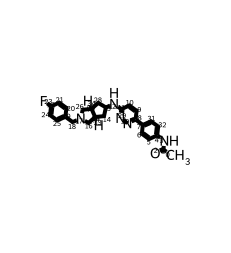 CC(=O)Nc1ccc(-c2ccc(NC3C[C@@H]4CN(Cc5ccc(F)cc5)C[C@@H]4C3)nn2)cc1